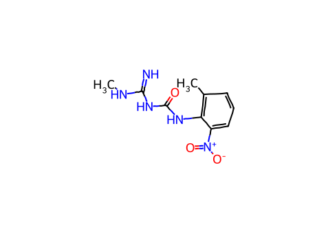 CNC(=N)NC(=O)Nc1c(C)cccc1[N+](=O)[O-]